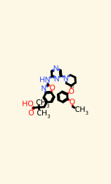 CCOc1ccccc1O[C@@H]1CCCN(c2cncc(Nc3nc4cc(CC(C)(C)C(=O)O)ccc4o3)n2)C1